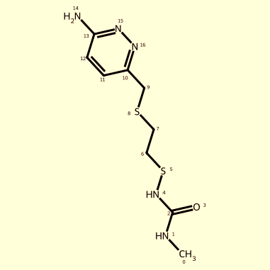 CNC(=O)NSCCSCc1ccc(N)nn1